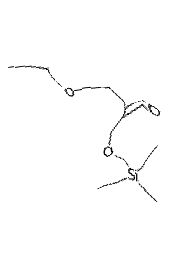 CCOCC(=O)O[Si](C)(C)C